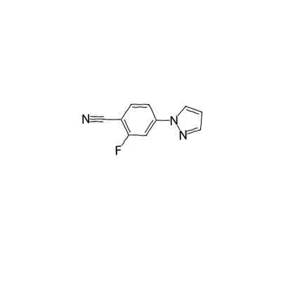 N#Cc1ccc(-n2cccn2)cc1F